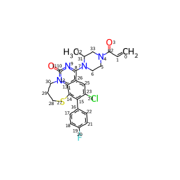 C=CC(=O)N1CCN(c2nc(=O)n3c4c(c(-c5ccc(F)cc5)c(Cl)cc24)SCCC3)C(C)C1